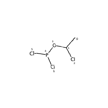 CC(Cl)OP(Cl)Cl